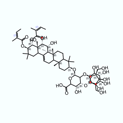 C/C=C(/C)C(=O)O[C@H]1[C@H](OC(=O)/C(C)=C\C)[C@@]2(CO)C(CC1(C)C)C1=CCC3[C@@]4(C)CC[C@H](O[C@@H]5OC(C(=O)O)[C@@H](O)[C@@H](O[C@@H]6O[C@@H](CO)[C@@H](O)C6O)C5O[C@@H]5OC(CO)[C@H](O)[C@@H](O)C5O)C(C)(C)C4CC[C@@]3(C)[C@]1(C)[C@@H](O)[C@H]2O